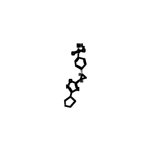 NS(=O)(=O)c1ccc([C@@H]2C[C@H]2c2nc(C3CCCC3)no2)cc1